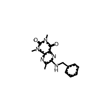 Cc1nc2c(nc1NCc1ccccc1)c(=O)n(C)c(=O)n2C